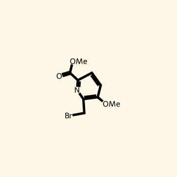 COC(=O)c1ccc(OC)c(CBr)n1